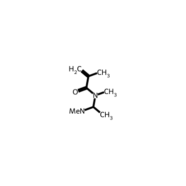 C=C(C)C(=O)N(C)C(C)NC